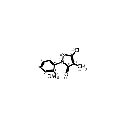 COc1ccccc1-n1sc(Cl)c(C)c1=O